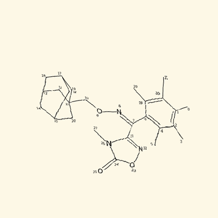 Cc1c(C)c(C)c(C(=NOCC23CC4CC(CC(C4)C2)C3)c2noc(=O)n2C)c(C)c1C